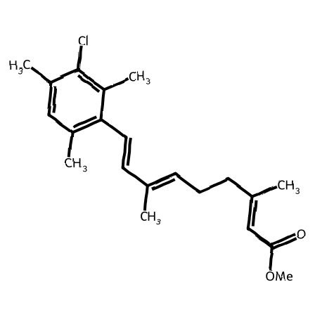 COC(=O)C=C(C)CCC=C(C)C=Cc1c(C)cc(C)c(Cl)c1C